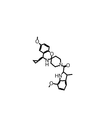 COc1ccc2c(c1)C(=C1CC1)NC1(CCN(C(=O)C3Nc4c(OC)cccc4C3C)CC1)O2